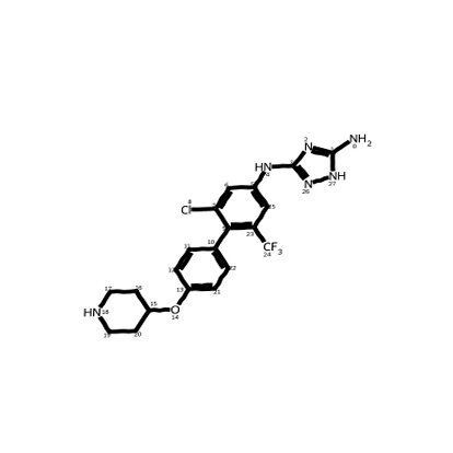 Nc1nc(Nc2cc(Cl)c(-c3ccc(OC4CCNCC4)cc3)c(C(F)(F)F)c2)n[nH]1